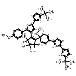 COc1ccc(-c2sc(-c3ccc(C(C)(C)C)s3)cc2C2=C(C3(OC)C=CC(c4ccc(-c5ccc(C(C)(C)C)s5)s4)=CC3)C(F)(F)C(F)(F)C2(F)F)cc1